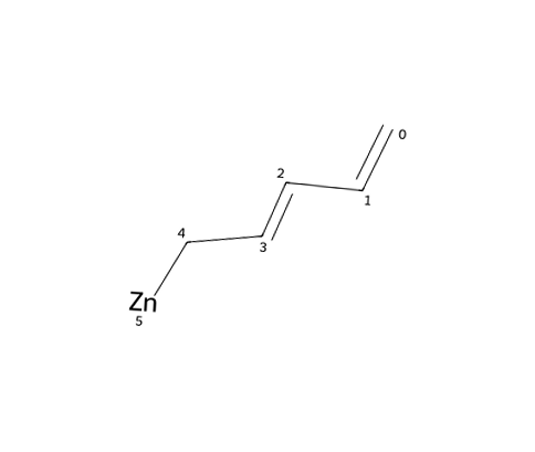 C=CC=C[CH2][Zn]